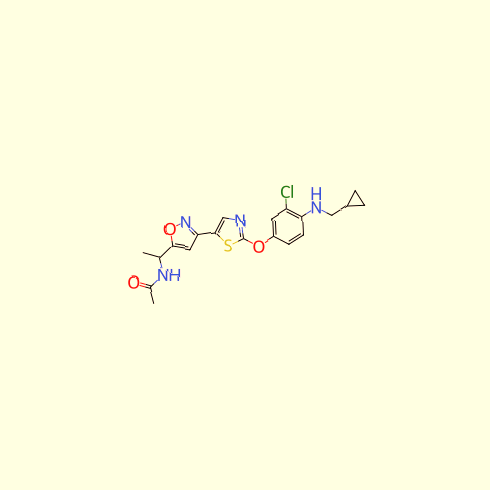 CC(=O)NC(C)c1cc(-c2cnc(Oc3ccc(NCC4CC4)c(Cl)c3)s2)no1